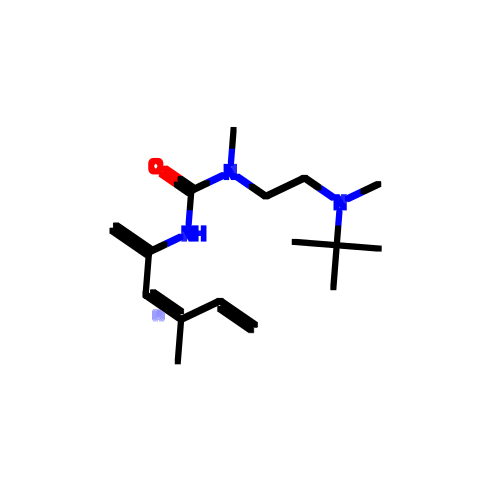 C=C/C(C)=C\C(=C)NC(=O)N(C)CCN(C)C(C)(C)C